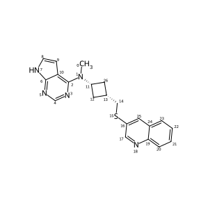 CN(c1ncnc2[nH]ccc12)[C@H]1C[C@@H](CSc2cnc3ccccc3c2)C1